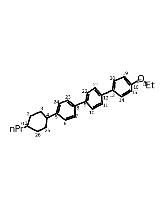 CCCC1CCC(c2ccc(-c3ccc(-c4ccc(OCC)cc4)cc3)cc2)CC1